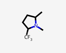 CC1CCC(C(F)(F)F)N1C